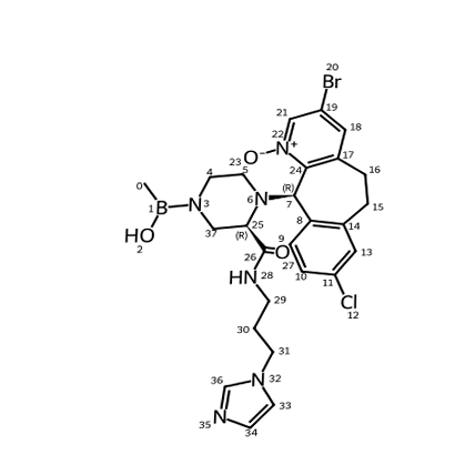 CB(O)N1CCN([C@@H]2c3ccc(Cl)cc3CCc3cc(Br)c[n+]([O-])c32)[C@@H](C(=O)NCCCn2ccnc2)C1